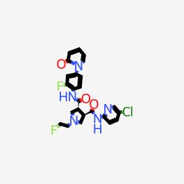 O=C(Nc1ccc(Cl)cn1)[C@H]1CN(CCF)C[C@@H]1C(=O)Nc1ccc(-n2ccccc2=O)cc1F